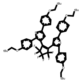 CC(C)(C)COc1ccc(-c2cc(C3=C(c4cc(-c5ccc(OCC(C)(C)C)cc5)sc4-c4ccc(OCC(C)(C)C)cc4)C(F)(F)C(F)(F)C3(F)F)c(-c3ccc(OCC(C)(C)C)cc3)s2)cc1